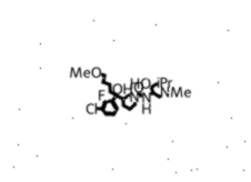 CNCC(NC(=O)N1CCCC(C(O)(CCCCOC)c2cccc(Cl)c2F)C1)C(O)C(C)C